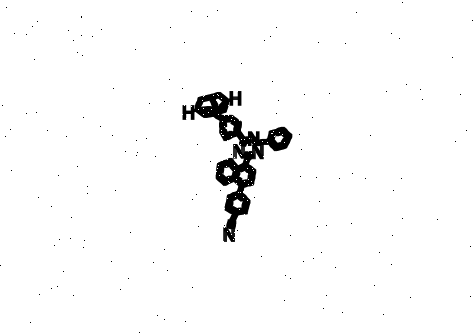 N#Cc1ccc(-c2ccc(-c3nc(-c4ccccc4)nc(-c4ccc(C56CC7C[C@H](C5)C[C@@H](C7)C6)cc4)n3)c3ccccc23)cc1